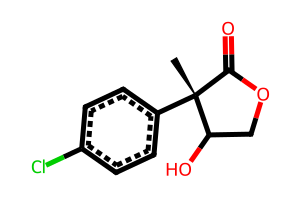 C[C@@]1(c2ccc(Cl)cc2)C(=O)OCC1O